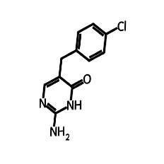 Nc1ncc(Cc2ccc(Cl)cc2)c(=O)[nH]1